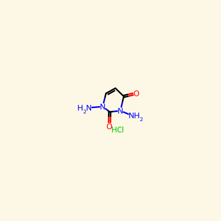 Cl.Nn1ccc(=O)n(N)c1=O